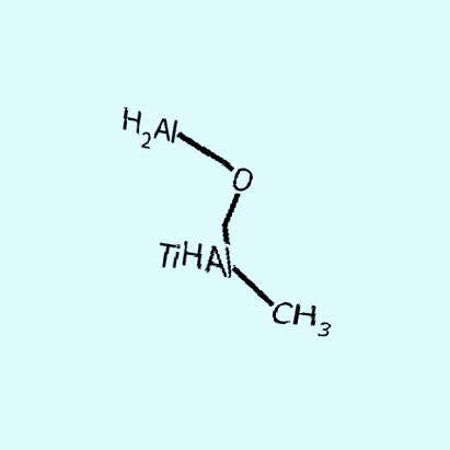 [CH3][AlH][O][AlH2].[Ti]